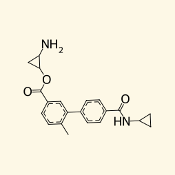 Cc1ccc(C(=O)OC2CC2N)cc1-c1ccc(C(=O)NC2CC2)cc1